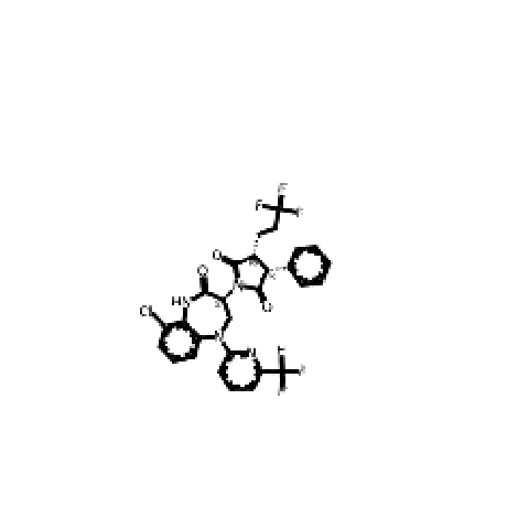 O=C1Nc2c(Cl)cccc2N(c2cccc(C(F)(F)F)n2)C[C@@H]1N1C(=O)[C@H](CCC(F)(F)F)[C@H](c2ccccc2)C1=O